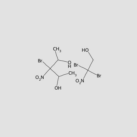 CC(O)C(Br)(C(C)O)[N+](=O)[O-].O=[N+]([O-])C(Br)(Br)CO